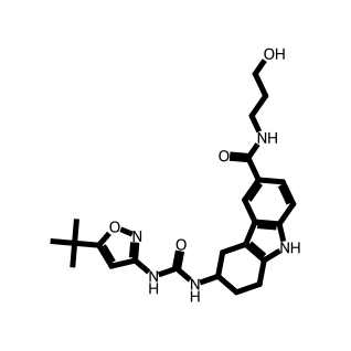 CC(C)(C)c1cc(NC(=O)NC2CCc3[nH]c4ccc(C(=O)NCCCO)cc4c3C2)no1